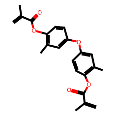 C=C(C)C(=O)Oc1ccc(Oc2ccc(OC(=O)C(=C)C)c(C)c2)cc1C